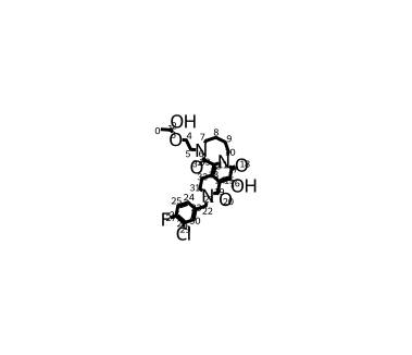 CC(O)OCCN1CCCCn2c(c3c(c(O)c2=O)C(=O)N(Cc2ccc(F)c(Cl)c2)CC3)C1=O